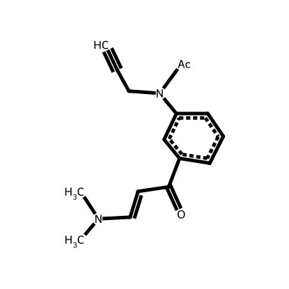 C#CCN(C(C)=O)c1cccc(C(=O)/C=C/N(C)C)c1